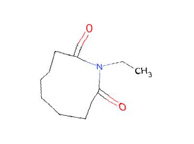 CCN1C(=O)CCCCCC1=O